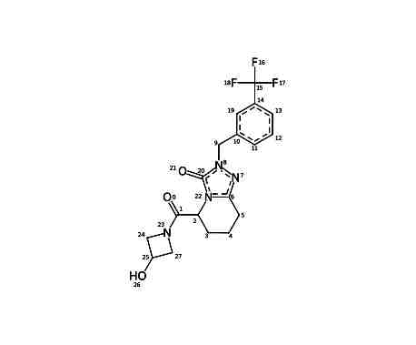 O=C(C1CCCc2nn(Cc3cccc(C(F)(F)F)c3)c(=O)n21)N1CC(O)C1